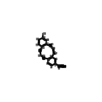 COc1ccc2c(c1)N=C=Nc1cc(C)ccc1OCO2